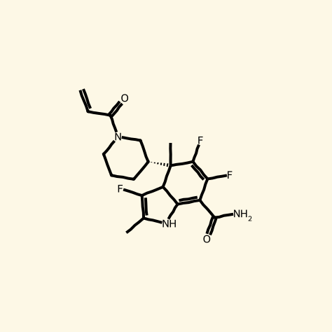 C=CC(=O)N1CCC[C@@H](C2(C)C(F)=C(F)C(C(N)=O)=C3NC(C)=C(F)C32)C1